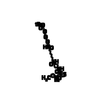 CCN(C(=O)Cn1c(C(=O)N[C@H]2CC[C@H](C(=O)NCCCCCCCC(=O)NCCOCCOCCOCCC(=O)OC(C)(C)C)CC2)cc2sccc21)c1cccc(C)c1